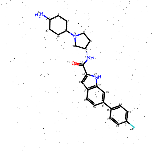 NC1CCC(N2CC[C@H](NC(=O)c3cc4ccc(-c5ccc(F)cc5)cc4[nH]3)C2)CC1